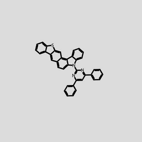 c1ccc(-c2cc(-c3ccccc3)nc(-n3c4ccccc4c4c5cc6sc7ccccc7c6cc5ccc43)n2)cc1